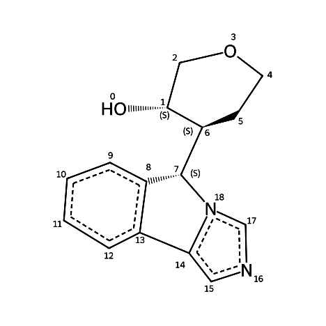 O[C@@H]1COCC[C@H]1[C@H]1c2ccccc2-c2cncn21